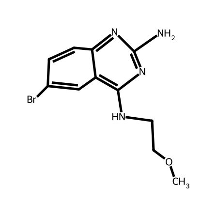 COCCNc1nc(N)nc2ccc(Br)cc12